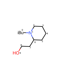 CCC(C)N1CCCCC1CCO